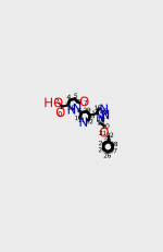 O=C(O)c1ccc(=O)n(-c2cncc(-c3cnnn3CCOCc3ccccc3)c2)n1